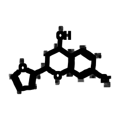 OC1CC(c2ccco2)Oc2cc(Br)ccc21